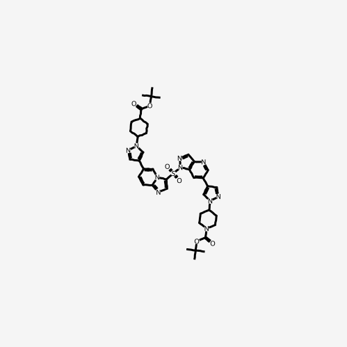 CC(C)(C)OC(=O)C1CCC(n2cc(-c3ccc4ncc(S(=O)(=O)n5ncc6ncc(-c7cnn(C8CCN(C(=O)OC(C)(C)C)CC8)c7)cc65)n4c3)cn2)CC1